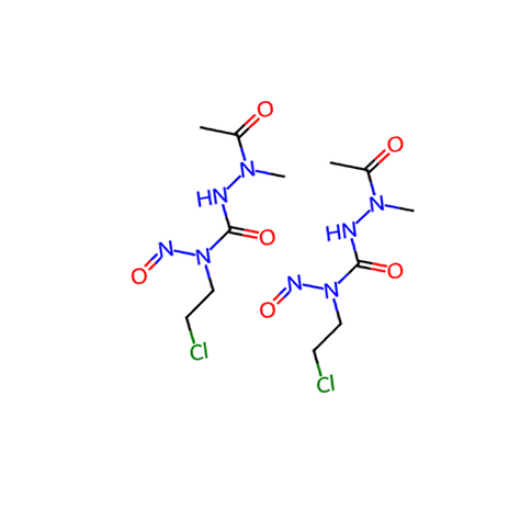 CC(=O)N(C)NC(=O)N(CCCl)N=O.CC(=O)N(C)NC(=O)N(CCCl)N=O